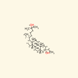 CC[C@H](CCCC(C)(C)O)[C@H]1CC[C@H]2[C@@H]3CC[C@H]4C[C@](O)(CC)CC[C@]4(C)[C@H]3CC[C@]12C